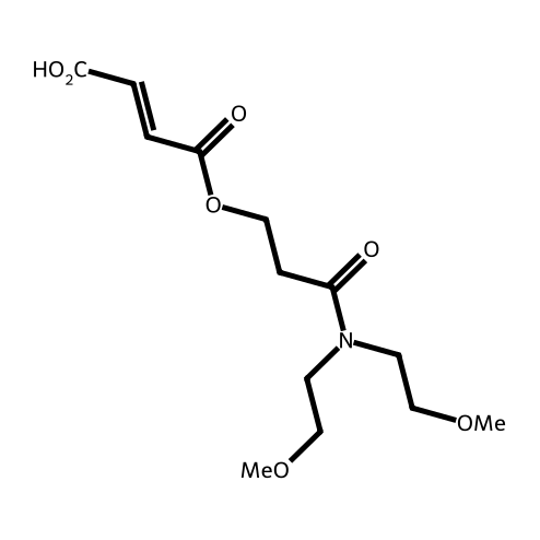 COCCN(CCOC)C(=O)CCOC(=O)/C=C/C(=O)O